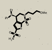 CCN(C(C)C)[C@H]1CN(CCCOC)S(=O)(=O)c2sc(S(N)(=O)=O)cc21